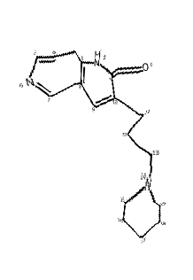 O=c1[nH]c2ccncc2cc1CCCN1CCCCC1